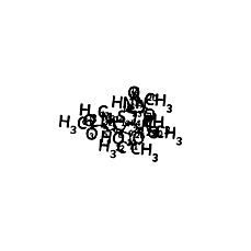 COC(=O)c1cc(C(O)(CC(C)C)c2sc3[nH]c(=O)n(C)c(=O)c3c2C(=O)N(C)OC)cn1C